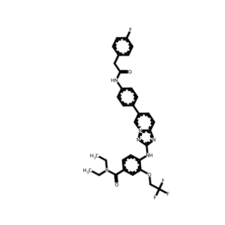 CCN(CC)C(=O)c1ccc(Nc2nc3ccc(-c4ccc(NC(=O)Cc5ccc(F)cc5)cc4)cn3n2)c(OCC(F)(F)F)c1